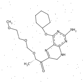 COCCOCO[C@@H](C)C(=O)C1=Nc2c(nc(N)nc2OC2CCCCC2)NC1